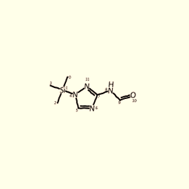 C[Si](C)(C)n1cnc(NC=O)n1